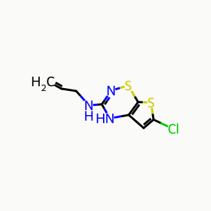 C=CCNC1=NSc2sc(Cl)cc2N1